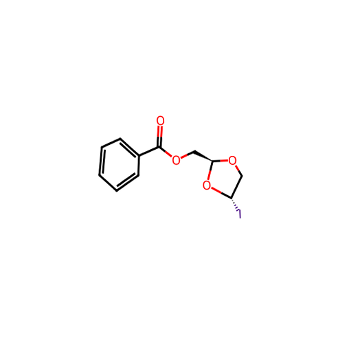 O=C(OC[C@H]1OC[C@H](I)O1)c1ccccc1